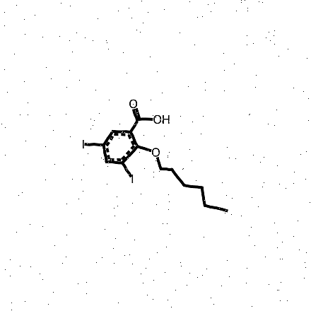 CCCCCCOc1c(I)cc(I)cc1C(=O)O